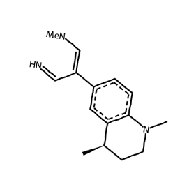 CN/C=C(\C=N)c1ccc2c(c1)[C@H](C)CCN2C